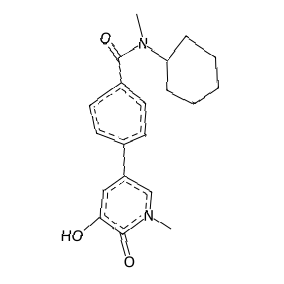 CN(C(=O)c1ccc(-c2cc(O)c(=O)n(C)c2)cc1)C1CCCCC1